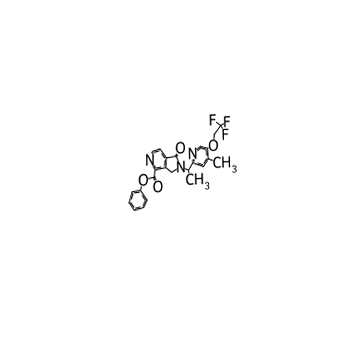 Cc1cc(C(C)N2Cc3c(ccnc3C(=O)Oc3ccccc3)C2=O)ncc1OCC(F)(F)F